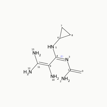 C=C(N)/N=C(/NC1CC1)C(N)=C(N)N